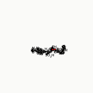 Cc1c(-c2ccc(-c3ccc4c(c3)N(C(=O)Nc3nc5ccccc5s3)CCC4)nc2C(=O)O)cnn1CC12CC3(C)CC(C)(C1)CC(OCCN(CCS(=O)(=O)O)C(=O)OCc1ccc(N(C(=O)[C@@H](NC(=O)CCCCCN4C(=O)C=CC4=O)C(C)C)[C@@H](CCCNC(N)=O)C(N)=O)cc1)(C3)C2